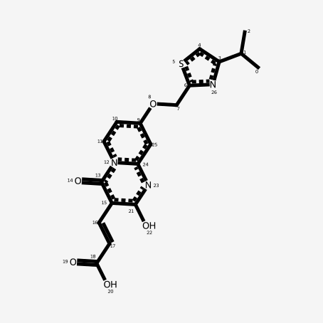 CC(C)c1csc(COc2ccn3c(=O)c(/C=C/C(=O)O)c(O)nc3c2)n1